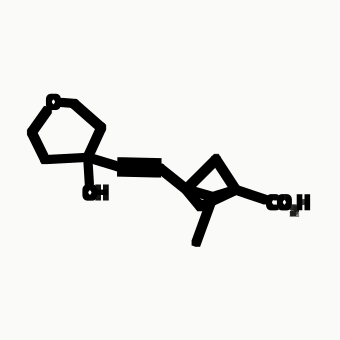 CC1C2(C#CC3(O)CCOCC3)CC1(C(=O)O)C2